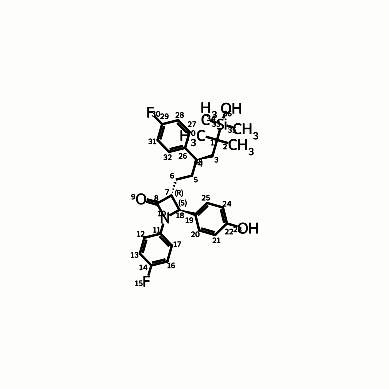 CC(C)(C[C@@H](CC[C@H]1C(=O)N(c2ccc(F)cc2)[C@@H]1c1ccc(O)cc1)c1ccc(F)cc1)[Si](C)(C)O